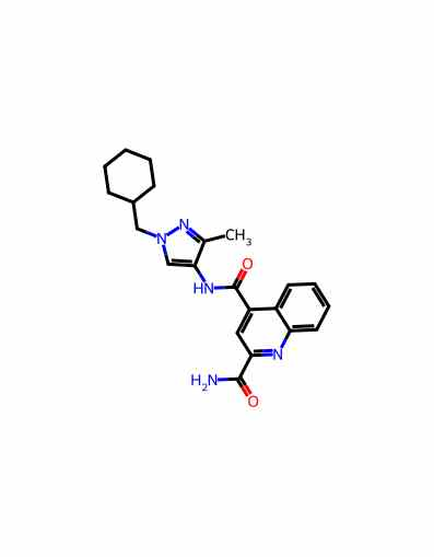 Cc1nn(CC2CCCCC2)cc1NC(=O)c1cc(C(N)=O)nc2ccccc12